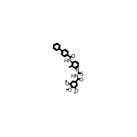 COc1cc(C(=O)NC(=S)N2c3ccc(NC(=O)c4ccc(-c5ccccc5)cc4)c(C)c32)cc(OC)c1OC